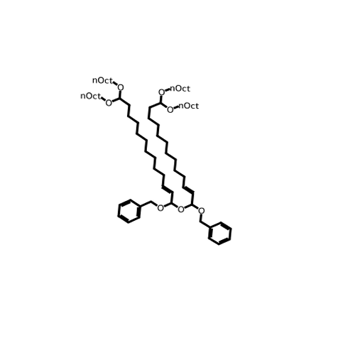 CCCCCCCCOC(CCCCCCCCCC=CC(OCc1ccccc1)OC(C=CCCCCCCCCCC(OCCCCCCCC)OCCCCCCCC)OCc1ccccc1)OCCCCCCCC